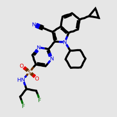 N#Cc1c(-c2ncc(S(=O)(=O)NC(CF)CF)cn2)n(C2CCCCC2)c2cc(C3CC3)ccc12